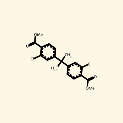 COC(=O)c1ccc(C(C)(C)c2ccc(C(=O)OC)c(Cl)c2)cc1Cl